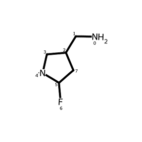 NCC1C[N]C(F)C1